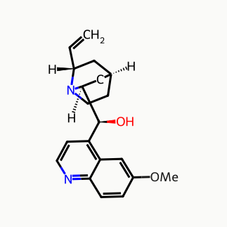 C=C[C@@H]1C[C@H]2CCN1[C@H]([C@@H](O)c1ccnc3ccc(OC)cc13)C2